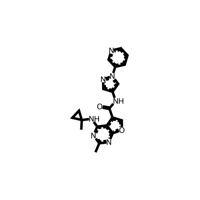 Cc1nc(NC2(C)CC2)c2c(C(=O)Nc3cnn(-c4cccnc4)c3)coc2n1